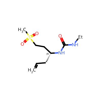 C=CC[C@H](CCS(C)(=O)=O)NC(=O)NCC